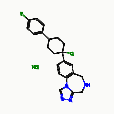 Cl.Fc1ccc(C2CCC(Cl)(c3ccc4c(c3)CNCc3nncn3-4)CC2)cc1